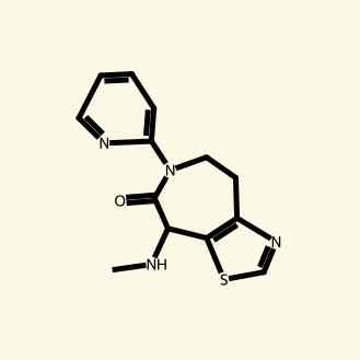 CNC1C(=O)N(c2ccccn2)CCc2ncsc21